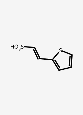 O=S(=O)(O)/C=C/c1cccs1